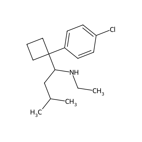 CCNC(CC(C)C)C1(c2ccc(Cl)cc2)CCC1